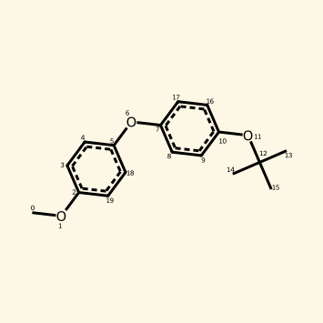 COc1ccc(Oc2ccc(OC(C)(C)C)cc2)cc1